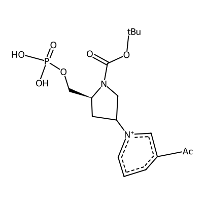 CC(=O)c1ccc[n+](C2C[C@@H](COP(=O)(O)O)N(C(=O)OC(C)(C)C)C2)c1